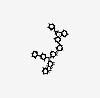 c1ccc(-c2ccc(N(c3ccc(-c4cccc(-c5ccc6c(c5)-c5ccccc5C5C(c7ccccc7)C65)c4)cc3)c3ccc4sc5ccccc5c4c3)cc2)cc1